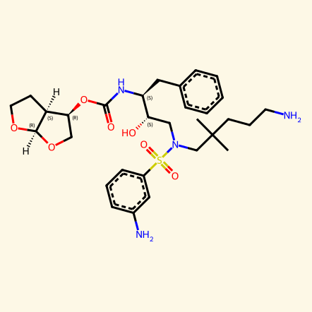 CC(C)(CCCN)CN(C[C@H](O)[C@H](Cc1ccccc1)NC(=O)O[C@H]1CO[C@H]2OCC[C@H]21)S(=O)(=O)c1cccc(N)c1